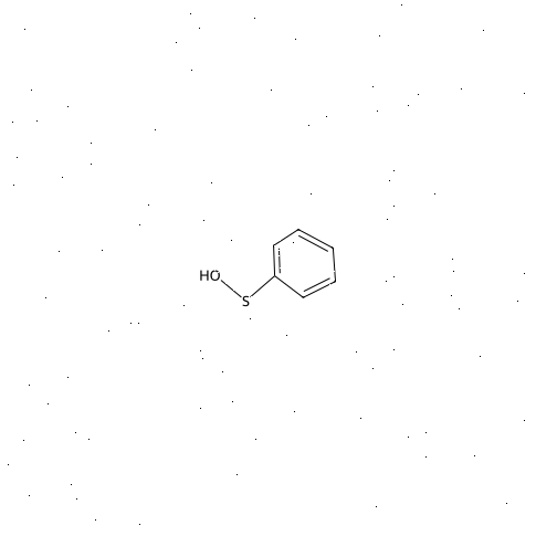 OSc1ccccc1